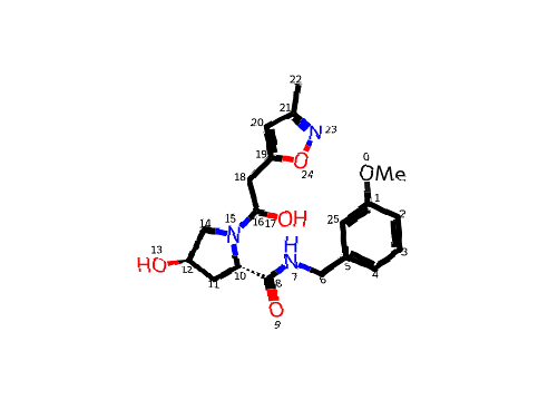 COc1cccc(CNC(=O)[C@@H]2C[C@@H](O)CN2C(O)Cc2cc(C)no2)c1